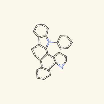 c1ccc(-n2c3ccccc3c3ccc4c5ccccc5c5ncccc5c4c32)cc1